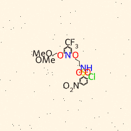 COC(COc1cc(C(F)(F)F)cc(OCCCNS(=O)(=O)c2cc([N+](=O)[O-])ccc2Cl)n1)OC